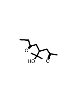 CCC(=O)CC(CC(C)=O)C(C)(C)O